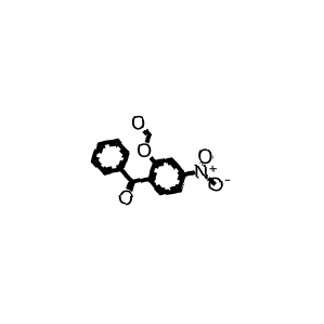 O=COc1cc([N+](=O)[O-])ccc1C(=O)c1ccccc1